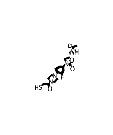 CC(=O)NC[C@H]1CN(c2ccc(N3CCN(C(=O)CS)CC3)c(F)c2)C(=O)O1